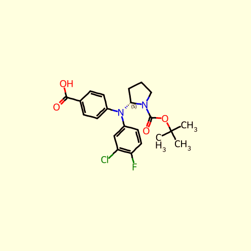 CC(C)(C)OC(=O)N1CCC[C@H]1N(c1ccc(C(=O)O)cc1)c1ccc(F)c(Cl)c1